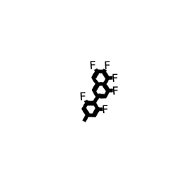 Cc1cc(F)c(-c2cc(F)c3c(F)c(F)c(F)cc3c2)c(F)c1